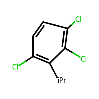 CC(C)c1c(Cl)ccc(Cl)c1Cl